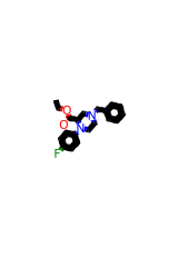 CCOC(=O)C1CN(Cc2ccccc2)CCN1c1ccc(F)cc1